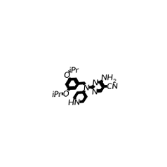 CC(C)Oc1cc(CN(c2ncc(C#N)c(N)n2)C2CCNCC2)cc(OC(C)C)c1